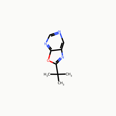 CC(C)(C)c1nc2cncnc2o1